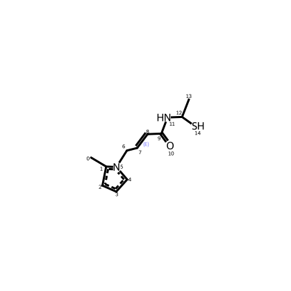 Cc1cccn1C/C=C/C(=O)NC(C)S